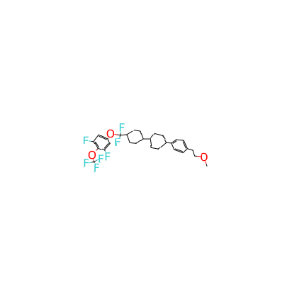 COCCc1ccc(C2CCC(C3CCC(C(F)(F)Oc4cc(F)c(OC(F)(F)F)c(F)c4)CC3)CC2)cc1